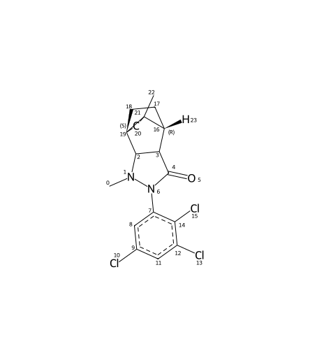 CN1C2C(C(=O)N1c1cc(Cl)cc(Cl)c1Cl)[C@H]1CC[C@@]23CC13C